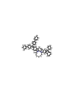 C=C1CCCCC/C(c2ccc3c(c2)c2ccccc2n3-c2ccccc2)=C2/CCCC/C2=C/1c1ccc(N(c2ccc(-c3ccccc3)cc2)c2ccc(-c3ccccc3)cc2)cc1